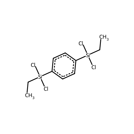 CC[Si](Cl)(Cl)c1ccc([Si](Cl)(Cl)CC)cc1